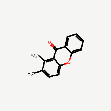 Cc1ccc2oc3ccccc3c(=O)c2c1S(=O)(=O)O